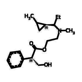 CCC([C@H]1CC1C)N(C)CCOC(=O)[C@H](CO)c1ccccc1